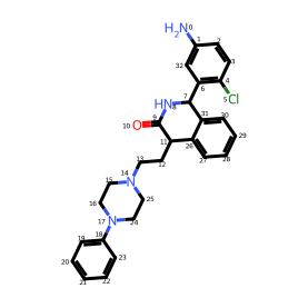 Nc1ccc(Cl)c(C2NC(=O)C(CCN3CCN(c4ccccc4)CC3)c3ccccc32)c1